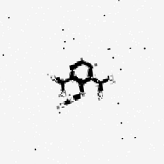 O=C=Nc1c(C(=O)Cl)cccc1C(=O)Cl